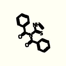 C=C.NC(=S)N(C(=O)c1ccccc1)C(=O)c1ccccc1